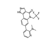 CN(C)c1ncccc1-c1ccc2c3[nH]ncc3c(=O)n(CC(F)(F)F)c2c1